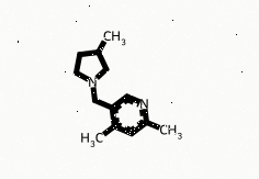 Cc1cc(C)c(CN2CCC(C)C2)cn1